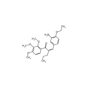 CCCC(=Cc1ccc(OCC)c(N)c1)C(=O)c1ccc(OC)c(OC)c1OC